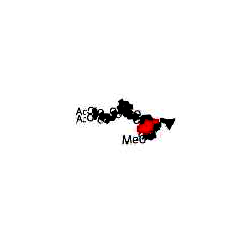 CO[C@]12CC[C@@]3(C[C@@H]1[C@](C)(O)C(C)(C)C)C1Cc4ccc(OC(=O)CC(C)(C)c5c(C)cc(C)cc5OC(=O)CC(C)CC(=O)OC(COC(C)=O)COC(C)=O)c5c4[C@@]3(CCN1CC1CC1)[C@]2(C)O5